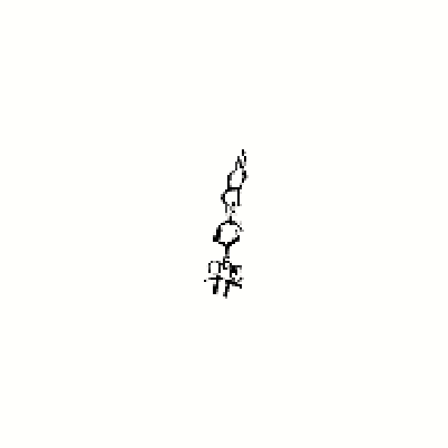 CN1CC2CN(c3ccc(B4OC(C)(C)C(C)(C)O4)cn3)CC2C1